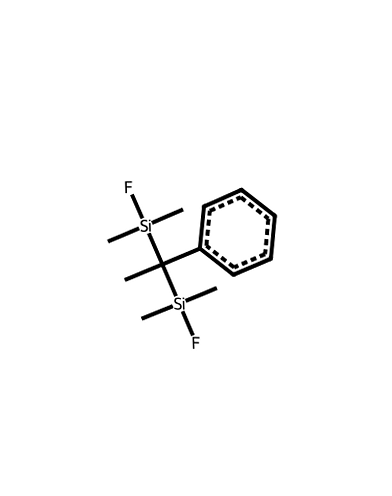 CC(c1ccccc1)([Si](C)(C)F)[Si](C)(C)F